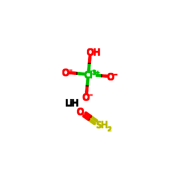 O=[SH2].[LiH].[O-][Cl+3]([O-])([O-])O